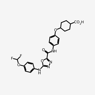 O=C(Nc1ccc(OC2CCC(C(=O)O)CC2)cc1)c1nnc(Nc2ccc(OC(F)F)cc2)o1